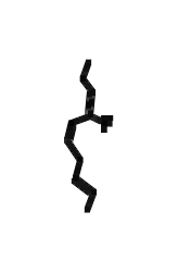 CC=CC/C=C\C(F)=C/CC